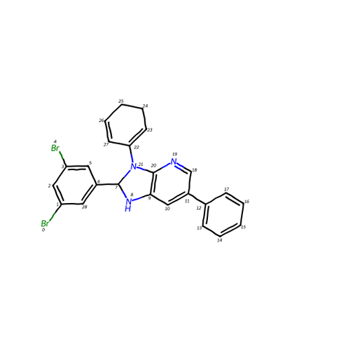 Brc1cc(Br)cc(C2Nc3cc(-c4ccccc4)cnc3N2C2=CCCC=C2)c1